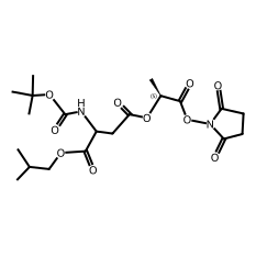 CC(C)COC(=O)C(CC(=O)O[C@@H](C)C(=O)ON1C(=O)CCC1=O)NC(=O)OC(C)(C)C